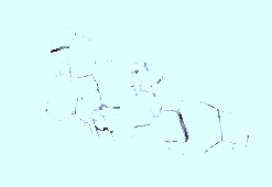 CC1CCC(C(C)C)C(C(C)(C(=O)C(CC2Cc3cc(Cl)ccc3O2)n2cncn2)C2CC(C)CCC2C(C)C)C1